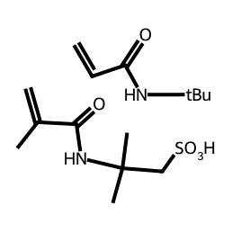 C=C(C)C(=O)NC(C)(C)CS(=O)(=O)O.C=CC(=O)NC(C)(C)C